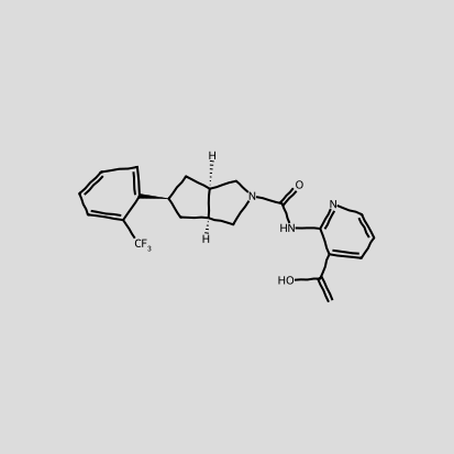 C=C(O)c1cccnc1NC(=O)N1C[C@H]2C[C@@H](c3ccccc3C(F)(F)F)C[C@H]2C1